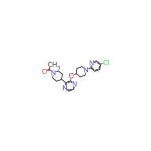 CC(=O)N1CCC(c2nccnc2OC2CCN(c3ccc(Cl)cn3)CC2)CC1